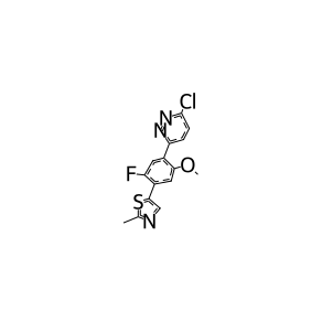 COc1cc(-c2cnc(C)s2)c(F)cc1-c1ccc(Cl)nn1